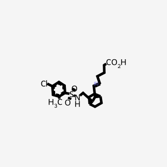 Cc1cc(Cl)ccc1S(=O)(=O)NCC1C2CCC(CC2)C1/C=C/CCCC(=O)O